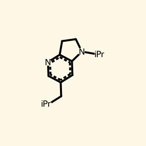 CC(C)Cc1cnc2c(c1)N(C(C)C)CC2